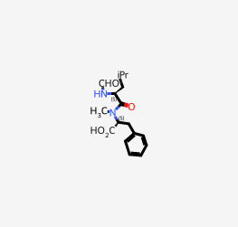 CC(C)C[C@H](NC=O)C(=O)N(C)[C@@H](Cc1ccccc1)C(=O)O